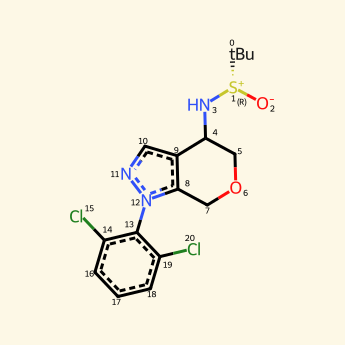 CC(C)(C)[S@+]([O-])NC1COCc2c1cnn2-c1c(Cl)cccc1Cl